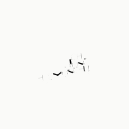 CCC[CH]OC(CC)OC(CC)OCCC